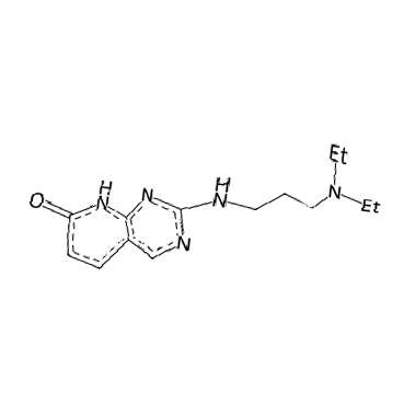 CCN(CC)CCCNc1ncc2ccc(=O)[nH]c2n1